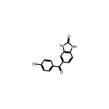 O=C(c1ccc(Cl)cc1)c1ccc2[nH]c(=O)[se]c2c1